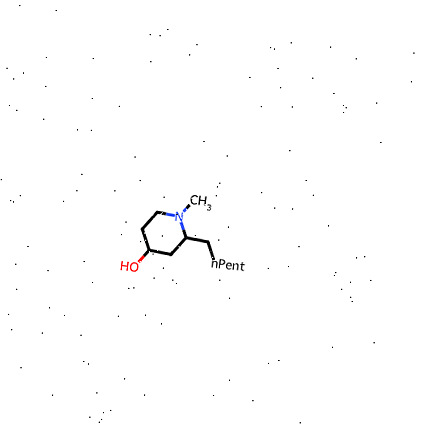 CCCCCCC1CC(O)CCN1C